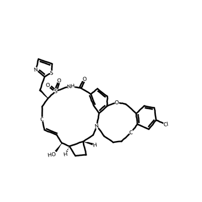 O=C1NS(=O)(=O)[C@H](Cc2nccs2)CC/C=C/[C@H](O)[C@@H]2CC[C@H]2CN2CCCCc3cc(Cl)ccc3COc3ccc1cc32